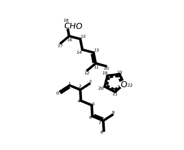 C=CC(C)CCC=C(C)C.CC(C)=CCCC(C)C=O.c1ccoc1